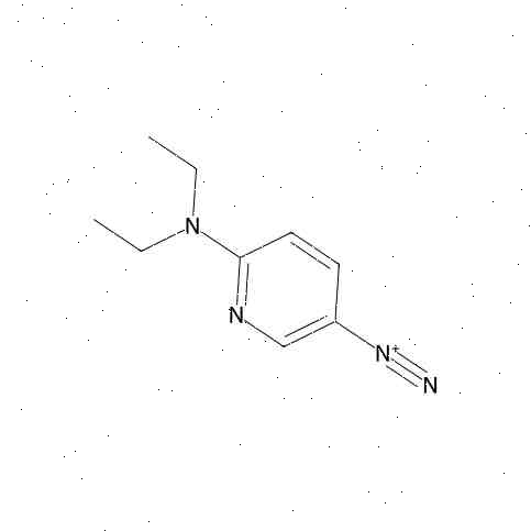 CCN(CC)c1ccc([N+]#N)cn1